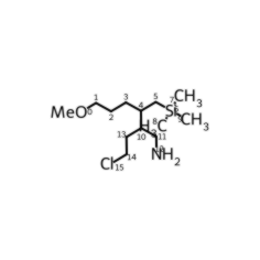 COCCCC(C[Si](C)(C)C)C(CN)CCCl